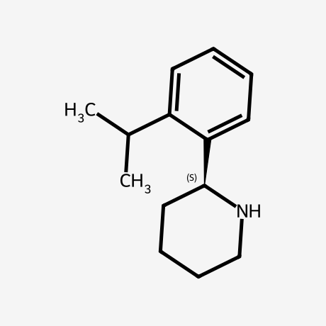 CC(C)c1ccccc1[C@@H]1CCCCN1